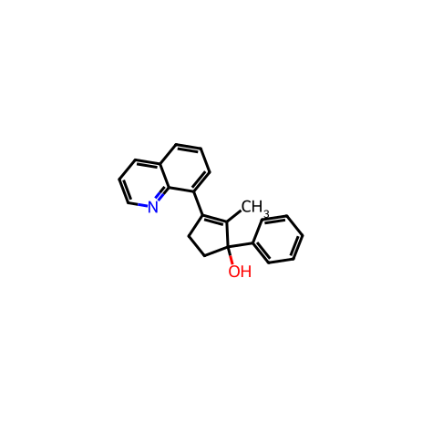 CC1=C(c2cccc3cccnc23)CCC1(O)c1ccccc1